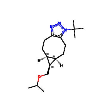 CC(C)OC[C@@H]1[C@@H]2CCc3c(nnn3C(C)(C)C)CC[C@@H]21